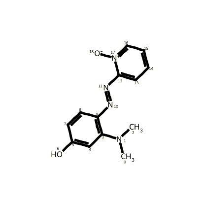 CN(C)c1cc(O)ccc1N=Nc1cccc[n+]1[O-]